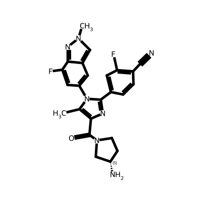 Cc1c(C(=O)N2CC[C@H](N)C2)nc(-c2ccc(C#N)c(F)c2)n1-c1cc(F)c2nn(C)cc2c1